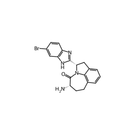 N[C@H]1CCc2cccc3c2N(C1=O)[C@H](c1nc2ccc(Br)cc2[nH]1)C3